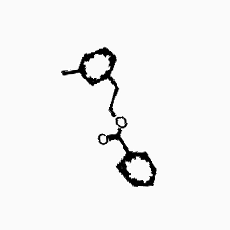 Cc1cccc(CCOC(=O)c2ccccc2)c1